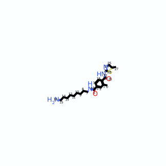 Cc1cc(C(=O)NCCCCCCCCCN)ccc1C(=O)NC1=NCC(C)S1